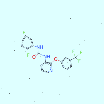 O=C(Nc1cc(F)ccc1F)Nc1cccnc1Oc1cccc(C(F)(F)F)c1